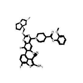 COc1ccccc1OC(=O)C1CCN(c2nc(OC[C@@]34CCCN3C[C@H](F)C4)nc3c(F)c(-c4ccc(F)c5sc(N)c(C#N)c45)c(Cl)cc23)CC1